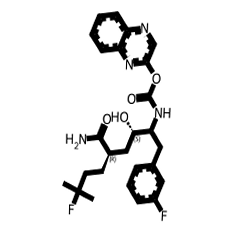 CC(C)(F)CC[C@H](C[C@H](O)C(Cc1cccc(F)c1)NC(=O)Oc1cnc2ccccc2n1)C(N)=O